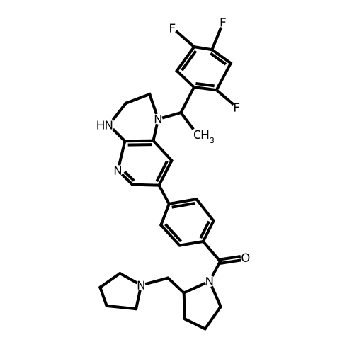 CC(c1cc(F)c(F)cc1F)N1CCNc2ncc(-c3ccc(C(=O)N4CCCC4CN4CCCC4)cc3)cc21